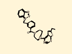 CCc1cc2c(N3CCN(C(=O)c4cccc(Cn5nnc6ccccc65)c4)CC3)ncnc2s1